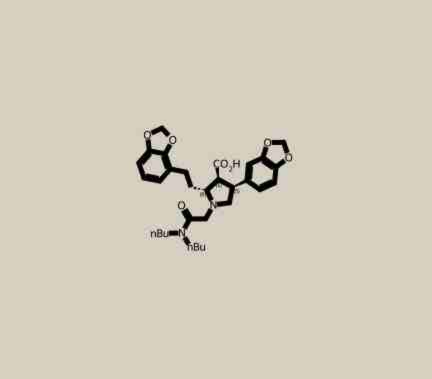 CCCCN(CCCC)C(=O)CN1C[C@H](c2ccc3c(c2)OCO3)[C@H](C(=O)O)[C@H]1CCc1cccc2c1OCO2